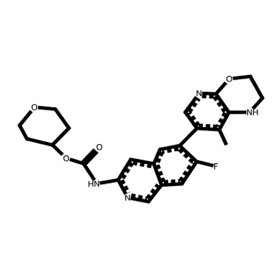 Cc1c(-c2cc3cc(NC(=O)OC4CCOCC4)ncc3cc2F)cnc2c1NCCO2